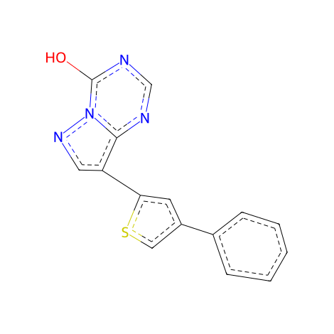 Oc1ncnc2c(-c3cc(-c4ccccc4)cs3)cnn12